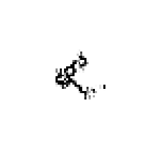 NC(CCCCC(=O)OC(=O)O)C1(N2C(=O)CCC2=O)CCC(CN2C(=O)C=CC2=O)CC1